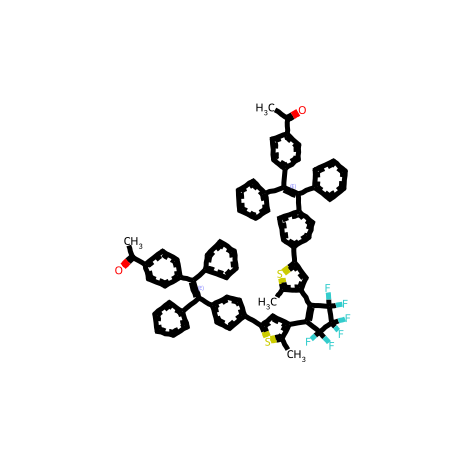 CC(=O)c1ccc(/C(=C(\c2ccccc2)c2ccc(-c3cc(C4=C(c5cc(-c6ccc(/C(=C(\c7ccccc7)c7ccc(C(C)=O)cc7)c7ccccc7)cc6)sc5C)C(F)(F)C(F)(F)C4(F)F)c(C)s3)cc2)c2ccccc2)cc1